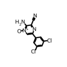 N#Cc1nc(-c2cc(Cl)cc(Cl)c2)c[n+]([O-])c1N